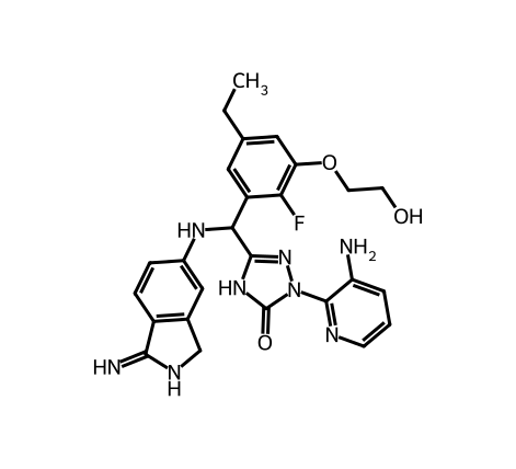 CCc1cc(OCCO)c(F)c(C(Nc2ccc3c(c2)CNC3=N)c2nn(-c3ncccc3N)c(=O)[nH]2)c1